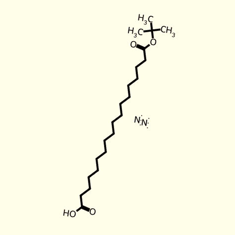 CC(C)(C)OC(=O)CCCCCCCCCCCCCCCCC(=O)O.[N].[N]